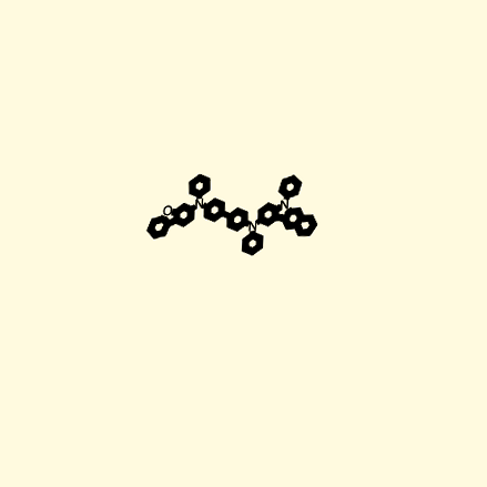 c1ccc(N(c2ccc(-c3ccc(N(c4ccccc4)c4ccc5c(c4)c4cc6ccccc6cc4n5-c4ccccc4)cc3)cc2)c2ccc3c(c2)oc2ccccc23)cc1